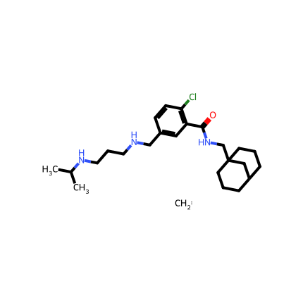 CC(C)NCCCNCc1ccc(Cl)c(C(=O)NCC23CCCC(CCC2)C3)c1.[CH2]